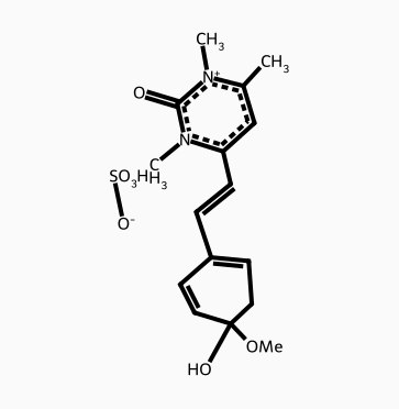 COC1(O)C=CC(C=Cc2cc(C)[n+](C)c(=O)n2C)=CC1.O=S(=O)([O-])O